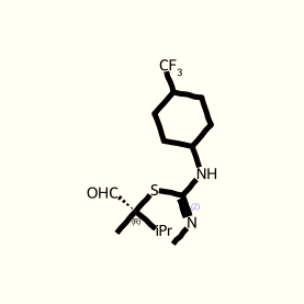 C/N=C(/NC1CCC(C(F)(F)F)CC1)S[C@@](C)(C=O)C(C)C